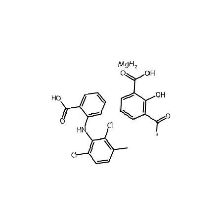 CC(=O)c1cccc(C(=O)O)c1O.Cc1ccc(Cl)c(Nc2ccccc2C(=O)O)c1Cl.[MgH2]